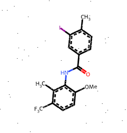 COc1ccc(C(F)(F)F)c(C)c1NC(=O)c1ccc(C)c(I)c1